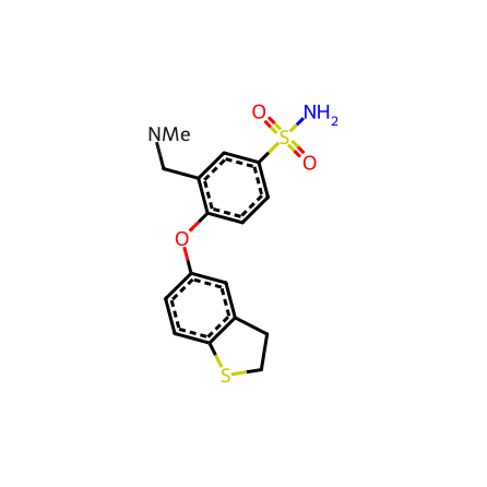 CNCc1cc(S(N)(=O)=O)ccc1Oc1ccc2c(c1)CCS2